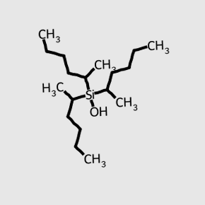 CCCCC(C)[Si](O)(C(C)CCCC)C(C)CCCC